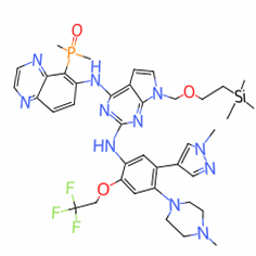 CN1CCN(c2cc(OCC(F)(F)F)c(Nc3nc(Nc4ccc5nccnc5c4P(C)(C)=O)c4ccn(COCC[Si](C)(C)C)c4n3)cc2-c2cnn(C)c2)CC1